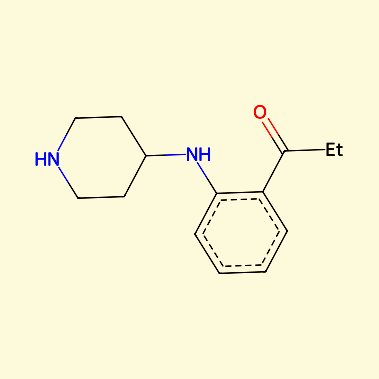 CCC(=O)c1ccccc1NC1CCNCC1